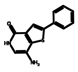 Nc1c[nH]c(=O)c2cc(-c3ccccc3)sc12